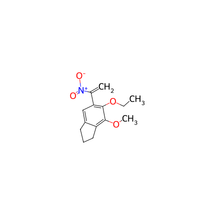 C=C(c1cc2c(c(OC)c1OCC)CCC2)[N+](=O)[O-]